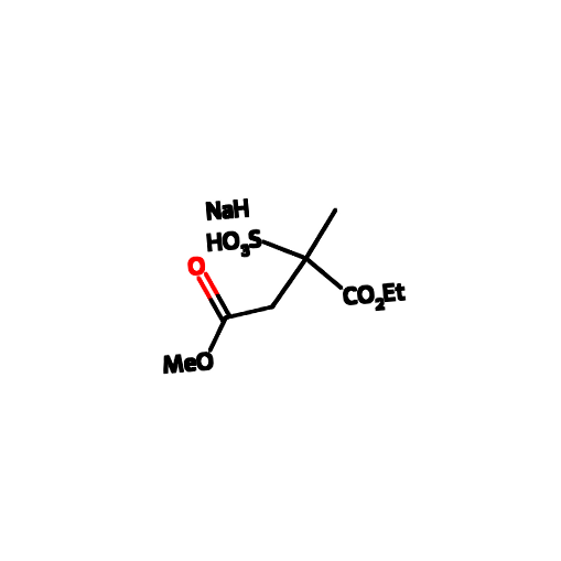 CCOC(=O)C(C)(CC(=O)OC)S(=O)(=O)O.[NaH]